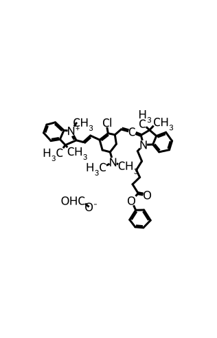 CN(C)C1CC(/C=C/C2=[N+](C)c3ccccc3C2(C)C)=C(Cl)C(C=C=C2N(CCCCCC(=O)Oc3ccccc3)c3ccccc3C2(C)C)C1.O=C[O-]